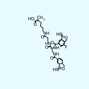 C[C@@H](CCCCNC(=O)CCNC(=O)[C@H](CNC(=O)C1=CC2B(O)OCC2C=C1)NC(=O)c1cc(F)c2c(c1)B(O)OC2)C(=O)O